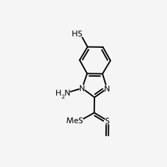 C=S=C(SC)c1nc2ccc(S)cc2n1N